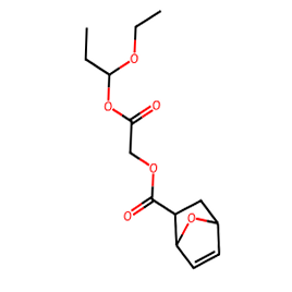 CCOC(CC)OC(=O)COC(=O)C1CC2C=CC1O2